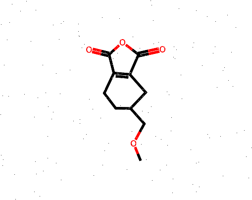 COCC1CCC2=C(C1)C(=O)OC2=O